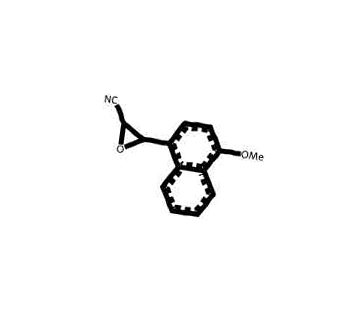 COc1ccc(C2OC2C#N)c2ccccc12